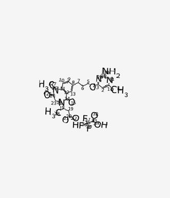 Cc1cc(OCCCc2ccc3c(c2)C(=O)N(C(C)CC(=O)O)CC(=O)N3C)nc(N)n1.O=C(O)C(F)(F)F